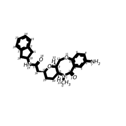 CN1C(=O)c2cc(N)ccc2OC[C@@H]2O[C@H](CC(=O)NC3Cc4ccccc4C3)CC[C@@H]21